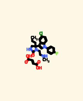 CCCC1(c2cn(-c3ccc(F)cc3)c3ccc(Cl)cc23)CNC(=O)N1CCNC.O=C(O)/C=C/C(=O)O